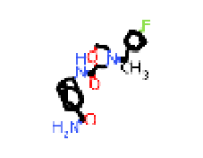 C[C@H](c1ccc(F)cc1)N1CCOC(C(=O)NC2C3CC4CC2CC(C(N)=O)(C4)C3)C1